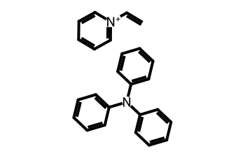 C=C[n+]1ccccc1.c1ccc(N(c2ccccc2)c2ccccc2)cc1